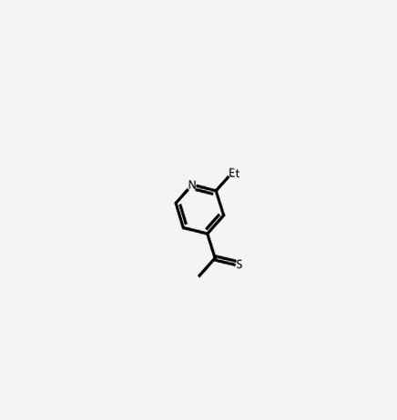 CCc1cc(C(C)=S)ccn1